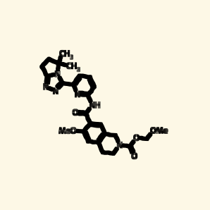 COCOC(=O)N1CCc2cc(OC)c(C(=O)Nc3cccc(-c4nnc5n4C(C)(C)CC5)n3)cc2C1